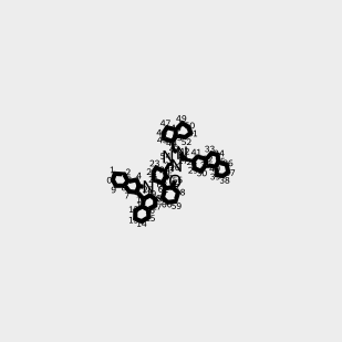 c1ccc2cc3c(cc2c1)c1c2ccccc2ccc1n3-c1ccc(-c2nc(-c3ccc4c(ccc5ccccc54)c3)nc(-c3cccc4ccccc34)n2)c2oc3ccccc3c12